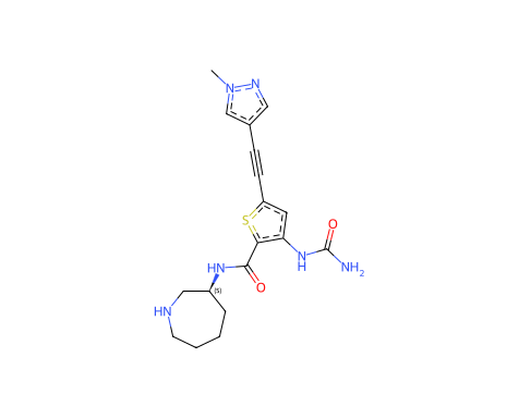 Cn1cc(C#Cc2cc(NC(N)=O)c(C(=O)N[C@H]3CCCCNC3)s2)cn1